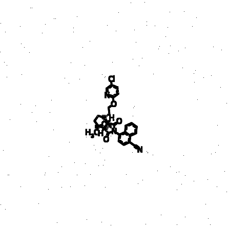 C[C@]12CC[C@](CCOc3ccc(Cl)cn3)(O1)[C@@H]1C(=O)N(c3ccc(C#N)c4ccccc34)C(=O)[C@@H]12